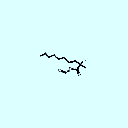 CCCCCCCCC(C)(O)C(=O)ON=O